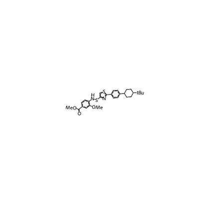 COC(=O)c1ccc(NSc2csc(-c3ccc(C4CCC(C(C)(C)C)CC4)cc3)n2)c(OC)c1